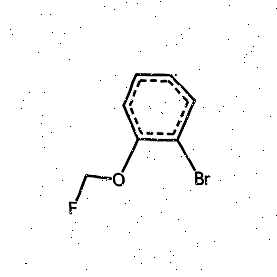 FCOc1cc[c]cc1Br